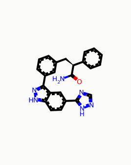 NC(=O)[C@@H](Cc1cccc(-c2n[nH]c3ccc(-c4ncn[nH]4)cc23)c1)c1ccccc1